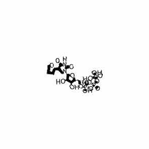 O=c1[nH]c(=O)n([C@@H]2O[C@H](COP(=O)(O)OP(=O)(O)OP(=O)(O)O)[C@@H](O)[C@H]2O)cc1-c1ccco1